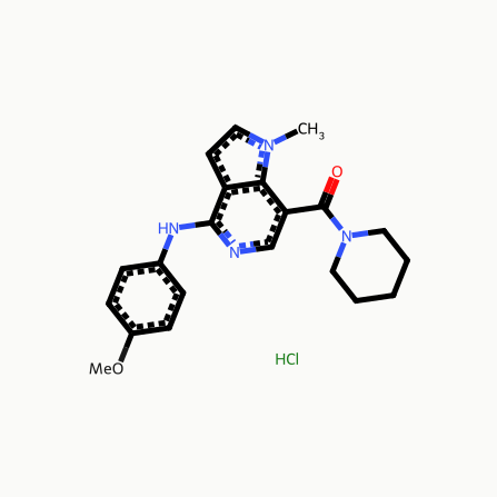 COc1ccc(Nc2ncc(C(=O)N3CCCCC3)c3c2ccn3C)cc1.Cl